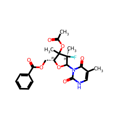 CC(=O)OC1(C)[C@@H](COC(=O)c2ccccc2)OC(n2c(=O)[nH]cc(C)c2=O)[C@]1(C)F